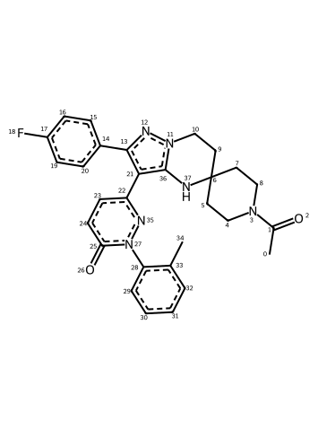 CC(=O)N1CCC2(CC1)CCn1nc(-c3ccc(F)cc3)c(-c3ccc(=O)n(-c4ccccc4C)n3)c1N2